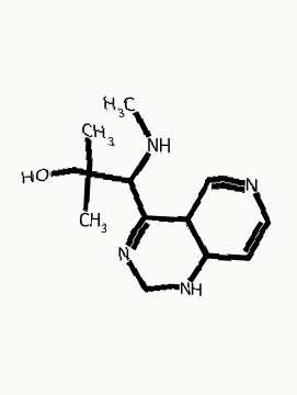 CNC(C1=NCNC2C=CN=CC12)C(C)(C)O